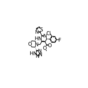 COC(=O)C1=C(CN2CCOC[C@H]2c2nnn[nH]2)NC(c2nccs2)=N[C@H]1c1ccc(F)cc1Cl